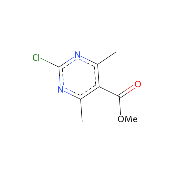 COC(=O)c1c(C)nc(Cl)nc1C